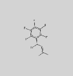 CCC(C=C(C)C)c1c(F)c(F)c(F)c(F)c1F